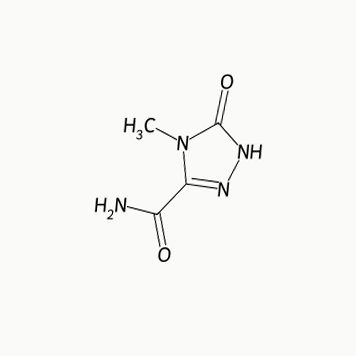 Cn1c(C(N)=O)n[nH]c1=O